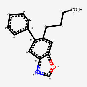 O=C(O)CCCc1cc2ocnc2cc1-c1ccccc1